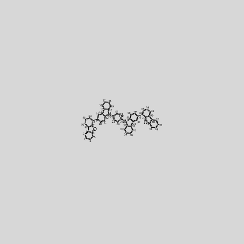 c1ccc2c(c1)oc1c(-c3ccc4c(c3)c3ccccc3n4-c3ccc(-n4c5ccccc5c5cc(-c6cccc7c6oc6ccccc67)ccc54)nc3)cccc12